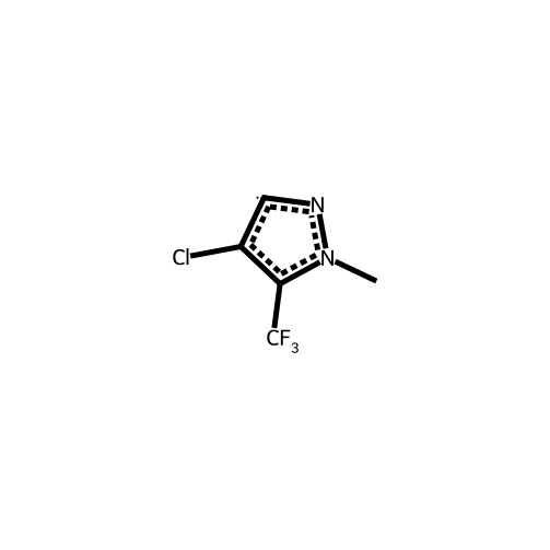 Cn1n[c]c(Cl)c1C(F)(F)F